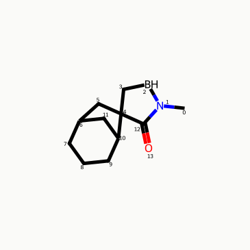 CN1BCC2(CC3CCCC2C3)C1=O